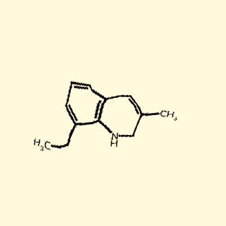 CCc1cccc2c1NCC(C)=C2